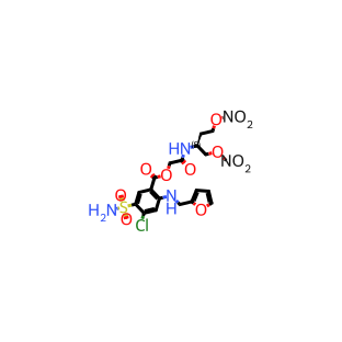 NS(=O)(=O)c1cc(C(=O)OCC(=O)N[C@@H](CCO[N+](=O)[O-])CO[N+](=O)[O-])c(NCc2ccco2)cc1Cl